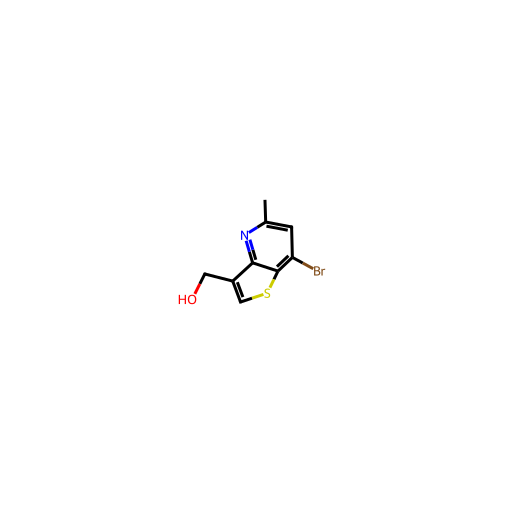 Cc1cc(Br)c2scc(CO)c2n1